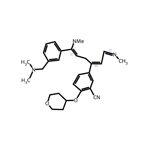 C/N=C\C=C(/C/C=C(\NC)c1cccc(CN(C)C)c1)c1ccc(OC2CCOCC2)c(C#N)c1